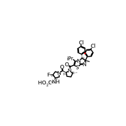 CC(C)C1=C(C(=O)N2[C@H](C)CC[C@H]2C(=O)N2C[C@H](NC(=O)O)[C@@H](F)C2)SC2=N[C@@](C)(c3ccc(Cl)cc3)[C@@H](c3ccc(Cl)cc3)N21